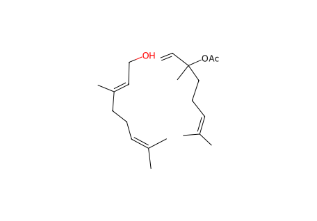 C=CC(C)(CCC=C(C)C)OC(C)=O.CC(C)=CCCC(C)=CCO